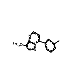 CCOC(=O)c1cnn2c(-c3cccc(C)c3)ccnc12